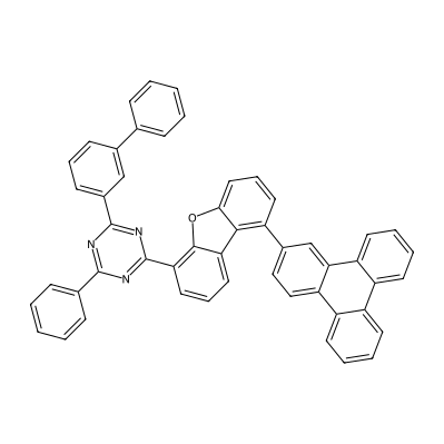 c1ccc(-c2cccc(-c3nc(-c4ccccc4)nc(-c4cccc5c4oc4cccc(-c6ccc7c8ccccc8c8ccccc8c7c6)c45)n3)c2)cc1